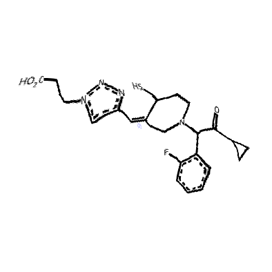 O=C(O)CCn1cc(/C=C2/CN(C(C(=O)C3CC3)c3ccccc3F)CCC2S)nn1